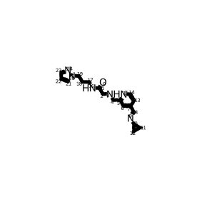 O=C(CNCc1cc(/C=N/C2CC2)ccn1)NCCCn1cccn1